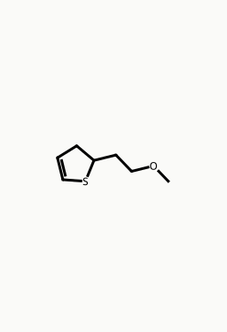 COCCC1CC=CS1